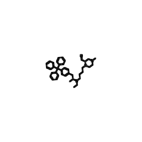 CCN(CCCCN1CCN(C)CC1C=O)C(C)Cc1ccc(C(c2ccccc2)(c2ccccc2)c2ccccc2)cc1